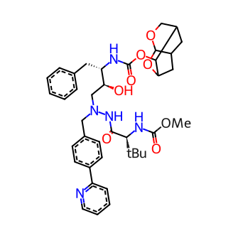 COC(=O)N[C@H](C(=O)NN(Cc1ccc(-c2ccccn2)cc1)C[C@H](O)[C@H](Cc1ccccc1)NC(=O)OC1C2COC3OC1CC3C2)C(C)(C)C